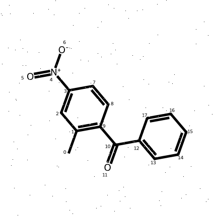 Cc1cc([N+](=O)[O-])ccc1C(=O)c1ccccc1